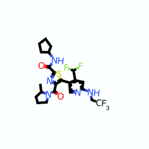 CC1CCCN1C(=O)c1nc(C(=O)NC2CCCC2)sc1-c1cnc(NCC(F)(F)F)cc1C(F)F